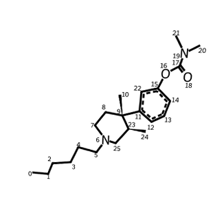 CCCCCCN1CC[C@](C)(c2cccc(OC(=O)N(C)C)c2)[C@@H](C)C1